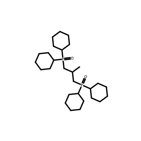 CC(CP(=O)(C1CCCCC1)C1CCCCC1)CP(=O)(C1CCCCC1)C1CCCCC1